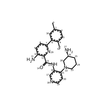 Cc1ccc(F)c(-c2ccc(N)c(C(=O)Nc3cnccc3N3CCC[C@H](N)C3)n2)c1